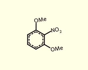 COc1cccc(OC)c1[N+](=O)[O-]